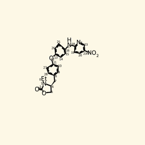 CCN1C(=O)OC[C@@H]1Cc1ccc(Oc2ccc(Nc3ccc([N+](=O)[O-])cn3)cc2)cc1